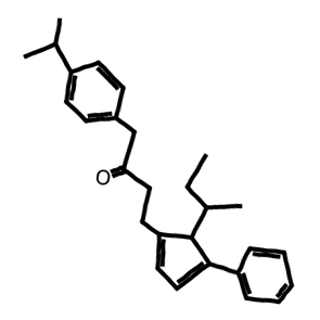 CCC(C)C1C(CCC(=O)Cc2ccc(C(C)C)cc2)=CC=C1c1ccccc1